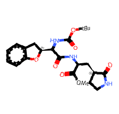 COC(=O)C(C[C@@H]1CCNC1=O)NC(=O)C(NC(=O)OC(C)(C)C)[C@@H]1Cc2ccccc2O1